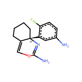 NC1=N[C@@]2(c3cc(N)ccc3F)CCCCC2=CO1